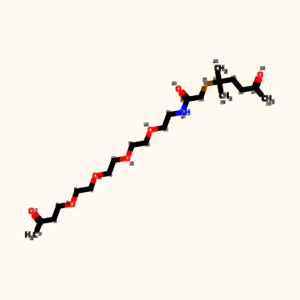 CC(=O)CCOCCOCCOCCOCCNC(=O)CSC(C)(C)CCC(C)=O